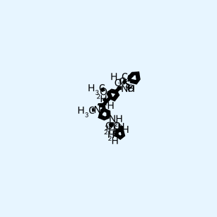 [2H]C([2H])(c1ccc(C(=O)NS(=O)(=O)c2ccccc2C)cc1OC)c1cn(C)c2ccc(NC(=O)OC3([2H])C([2H])([2H])CCC3([2H])[2H])cc12